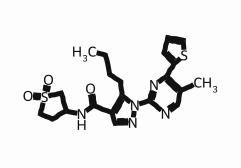 CCCCc1c(C(=O)NC2CCS(=O)(=O)C2)cnn1-c1ncc(C)c(-c2cccs2)n1